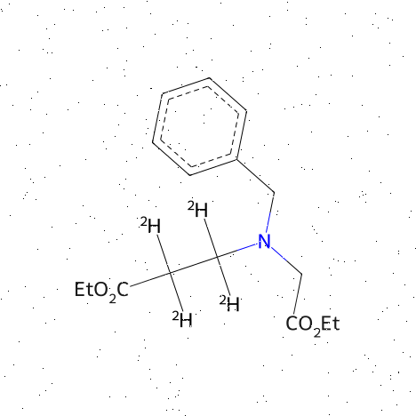 [2H]C([2H])(C(=O)OCC)C([2H])([2H])N(CC(=O)OCC)Cc1ccccc1